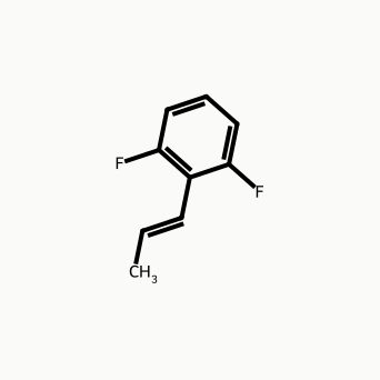 C/C=C/c1c(F)cccc1F